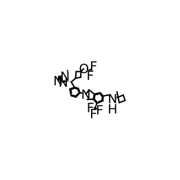 Cn1cnnc1[C@@H](c1cccc(N2Cc3cc(CNC4(C)CCC4)cc(C(F)(F)F)c3C2)c1)C1CC(OC(F)F)C1